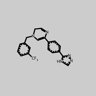 FC(F)(F)c1cccc(CN2C=C(c3ccc(-c4nnc[nH]4)cc3)N=CC2)c1